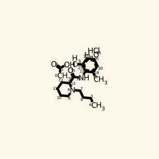 CC(=O)O.CCCCN1CCCCC1C(=O)Nc1c(C)cccc1C.Cl.O